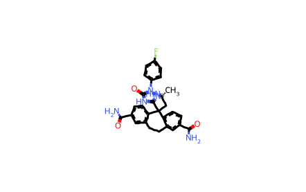 C[C@@H](N)CC1(c2nn(-c3ccc(F)cc3)c(=O)[nH]2)c2ccc(C(N)=O)cc2CCc2cc(C(N)=O)ccc21